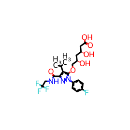 CC(C)c1c(C(=O)NCC(F)(F)F)nn(-c2ccc(F)cc2)c1OC[C@@H](O)C[C@@H](O)CC(=O)O